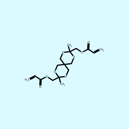 C=CC(=O)OCC1(C)OCC2(CO1)COC(C)(COC(=O)C=C)OC2